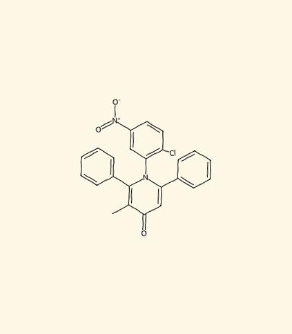 Cc1c(-c2ccccc2)n(-c2cc([N+](=O)[O-])ccc2Cl)c(-c2ccccc2)cc1=O